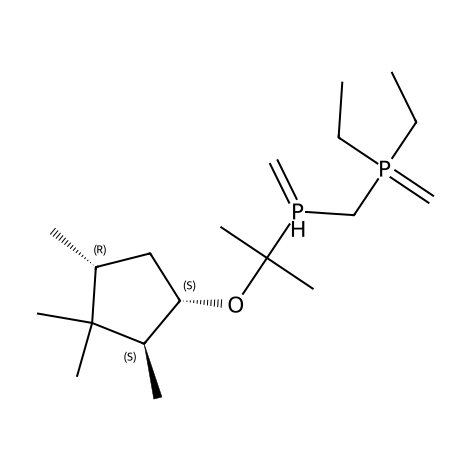 C=[PH](CP(=C)(CC)CC)C(C)(C)O[C@H]1C[C@@H](C)C(C)(C)[C@@H]1C